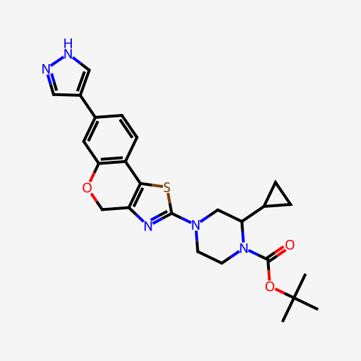 CC(C)(C)OC(=O)N1CCN(c2nc3c(s2)-c2ccc(-c4cn[nH]c4)cc2OC3)CC1C1CC1